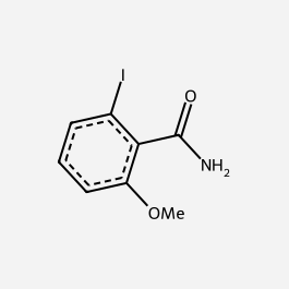 COc1cccc(I)c1C(N)=O